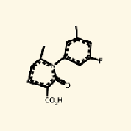 Cc1cc(F)cc(-n2c(C)ccc(C(=O)O)c2=O)c1